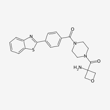 NC1(C(=O)N2CCN(C(=O)c3ccc(-c4nc5ccccc5s4)cc3)CC2)COC1